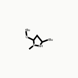 CN1NC(C(C)(C)C)CC1OC(C)(C)C